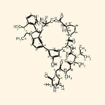 CCc1ccncc1-c1c2c3cc(ccc3n1CC)-c1cc(O)cc(c1)C[C@H](NC(=O)[C@H](C(C)C)N(C)C(=O)CN(C)C(=O)CN1C[C@@H]3N[C@@H]3C1=O)C(=O)N1CCC[C@H](N1)C(=O)OCC(C)(C)C2